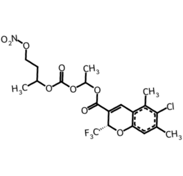 Cc1cc2c(c(C)c1Cl)C=C(C(=O)OC(C)OC(=O)OC(C)CCO[N+](=O)[O-])[C@@H](C(F)(F)F)O2